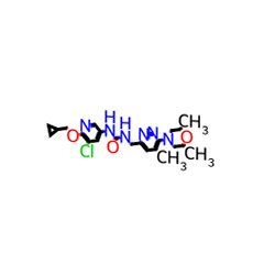 Cc1cc(CNC(=O)Nc2cnc(OCC3CC3)c(Cl)c2)nnc1N1CC(C)OC(C)C1